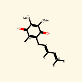 COC1=C(OC)C(=O)C(C/C=C(\C)C=C(C)C)=C(C)C1=O